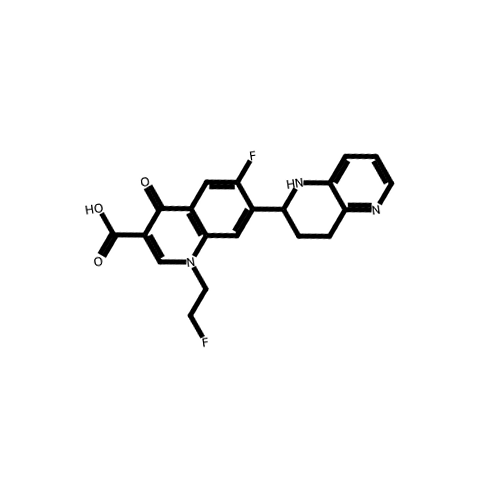 O=C(O)c1cn(CCF)c2cc(C3CCc4ncccc4N3)c(F)cc2c1=O